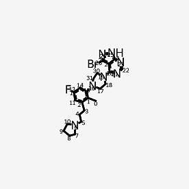 Cc1c(CCCN2CCCC2)cc(F)cc1N1CCN(c2ncnc3[nH]nc(Br)c23)CC1